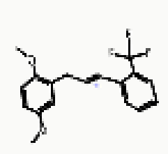 COc1ccc(OC)c(C/C=C/c2ccccc2C(F)(F)F)c1